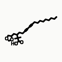 CCCCCCCCCC#CC#CCCC(CC1COCO1)C(C)(C)C(=O)O